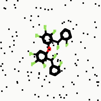 Fc1ccccc1C(F)c1c(Oc2cc(F)c(F)c(F)c2C(F)c2ccccc2F)cc(F)c(F)c1F